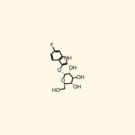 OC[C@H]1O[C@H](Oc2c[nH]c3cc(F)ccc23)[C@H](O)[C@@H](O)[C@@H]1O